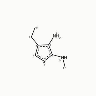 CCc1csc(NC)c1N